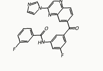 O=C(Nc1cc(F)cc(C(=O)c2ccc3ncc(-n4ccnc4)nc3c2)c1)c1cccc(F)c1